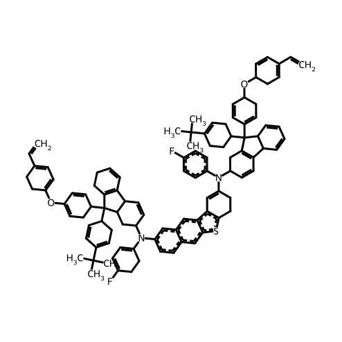 C=CC1=CCC(OC2C=CC(C3(C4CC=C(C(C)(C)C)CC4)C4=C(C=CC(N(C5=Cc6c(sc7cc8ccc(N(C9=CC=C(F)CC9)C9C=CC%10C%11=C(CCC=C%11)C(C%11C=CC(OC%12=CC=C(C=C)CC%12)=CC%11)(C%11C=CC(C(C)(C)C)=CC%11)C%10C9)cc8cc67)CC5)c5ccc(F)cc5)C4)C4C=CC=CC43)=CC2)C=C1